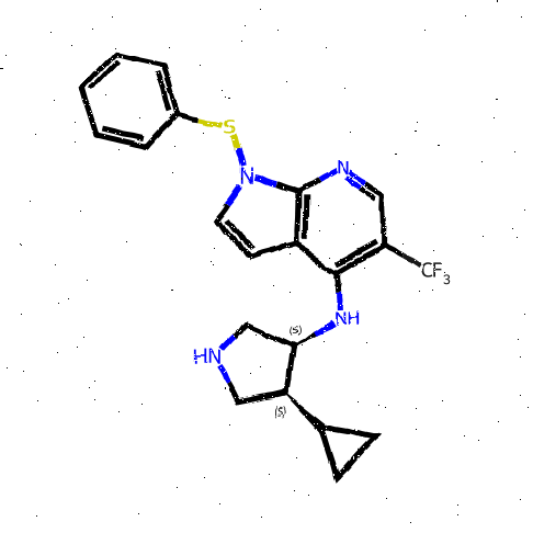 FC(F)(F)c1cnc2c(ccn2Sc2ccccc2)c1N[C@@H]1CNC[C@@H]1C1CC1